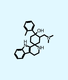 Cc1ccccc1C1(O)CCC2(CC1CN(C)C)NCCc1c2[nH]c2ccccc12